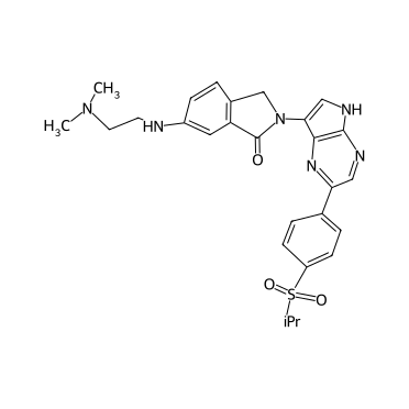 CC(C)S(=O)(=O)c1ccc(-c2cnc3[nH]cc(N4Cc5ccc(NCCN(C)C)cc5C4=O)c3n2)cc1